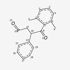 Cc1cccc(C)c1C(=O)C(CP=O)c1ccccc1